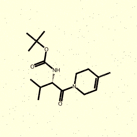 CC1=CCN(C(=O)[C@@H](NC(=O)OC(C)(C)C)C(C)C)CC1